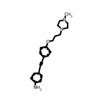 CN1CCN(CCCOc2ccc(C#Cc3ccc(N)cc3)cc2)CC1